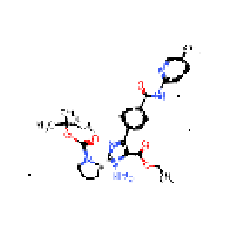 CCOC(=O)c1c(-c2ccc(C(=O)Nc3ccc(C)cn3)cc2)nc([C@@H]2CCCN2C(=O)OC(C)(C)C)n1N